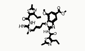 CCc1nc(C)sc1C(=O)NC(=N)N(C)C/C=C/Cn1c(NC(=O)c2sc(C)nc2CC)nc2cc(C(=O)OC)cc(OC)c21